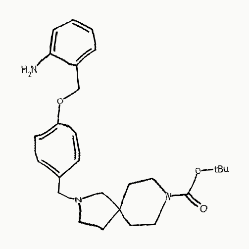 CC(C)(C)OC(=O)N1CCC2(CCN(Cc3ccc(OCc4ccccc4N)cc3)C2)CC1